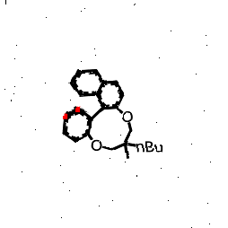 CCCCC1(C)COc2ccc3ccccc3c2-c2c(ccc3ccccc23)OC1